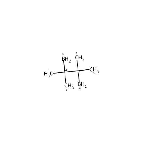 BC(C)(C)C(B)(C)C